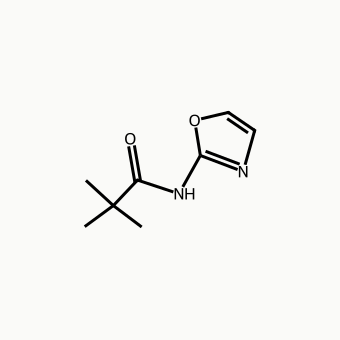 CC(C)(C)C(=O)Nc1ncco1